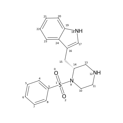 O=S(=O)(c1ccccc1)N1CCNC[C@H]1Cc1c[nH]c2ccccc12